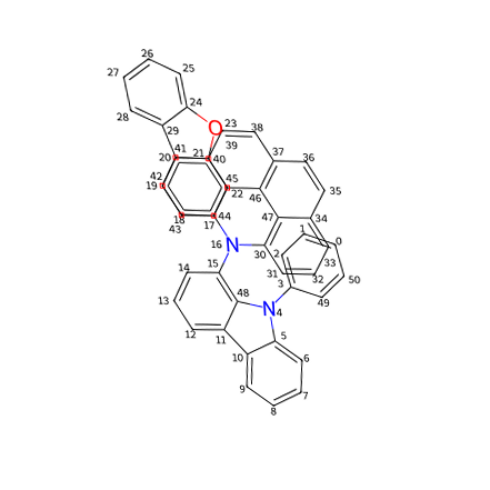 c1ccc(-n2c3ccccc3c3cccc(N(c4ccc5c(c4)oc4ccccc45)c4cccc5ccc6ccc7ccccc7c6c45)c32)cc1